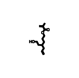 C=CCC(CCO)CCCOC(=O)C(=C)C